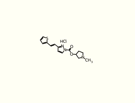 CN1CCC(OC(=O)n2ccc(/C=C/c3cccs3)n2)C1.Cl